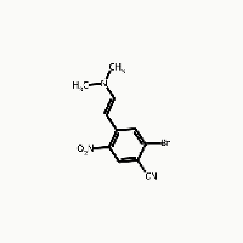 CN(C)C=Cc1cc(Br)c(C#N)cc1[N+](=O)[O-]